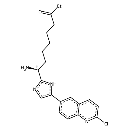 CCC(=O)CCCCC[C@H](N)c1ncc(-c2ccc3nc(Cl)ccc3c2)[nH]1